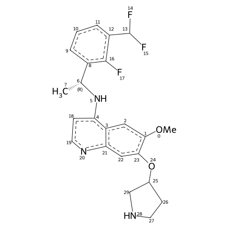 COc1cc2c(N[C@H](C)c3cccc(C(F)F)c3F)ccnc2cc1OC1CCNC1